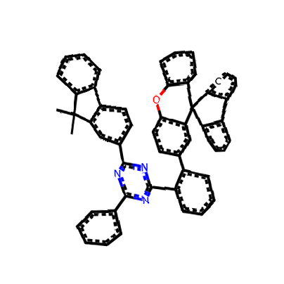 CC1(C)c2ccccc2-c2ccc(-c3nc(-c4ccccc4)nc(-c4ccccc4-c4ccc5c(c4)C4(c6ccccc6O5)c5ccccc5-c5ccccc54)n3)cc21